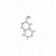 CC(C)c1ccc2nccnc2c1